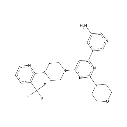 Nc1cncc(-c2cc(N3CCN(c4ncccc4C(F)(F)F)CC3)nc(N3CCOCC3)n2)c1